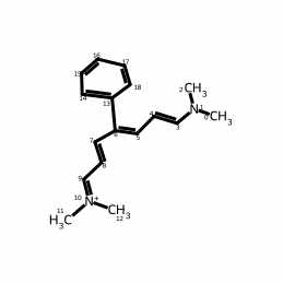 CN(C)/C=C/C=C(/C=C/C=[N+](C)C)c1ccccc1